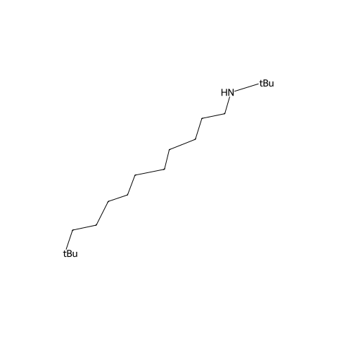 CC(C)(C)CCCCCCCCCCNC(C)(C)C